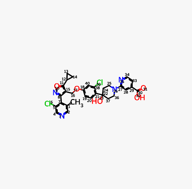 Cc1cncc(Cl)c1-c1noc(C2CC2)c1COc1ccc(C2(O)CCN(c3cc(C(=O)O)ccn3)CC2)c(Cl)c1